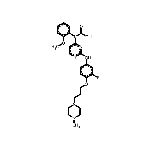 COc1ccccc1N(C(=O)O)c1ccnc(Nc2ccc(OCCCN3CCN(C)CC3)c(F)c2)n1